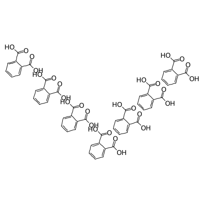 O=C(O)c1ccccc1C(=O)O.O=C(O)c1ccccc1C(=O)O.O=C(O)c1ccccc1C(=O)O.O=C(O)c1ccccc1C(=O)O.O=C(O)c1ccccc1C(=O)O.O=C(O)c1ccccc1C(=O)O.O=C(O)c1ccccc1C(=O)O